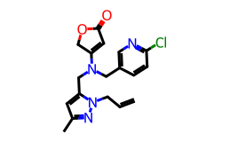 C=CCn1nc(C)cc1CN(Cc1ccc(Cl)nc1)C1=CC(=O)OC1